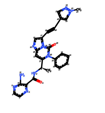 C[C@H](NC(=O)c1nccnc1N)c1cc2ncc(C#Cc3cnn(C)c3)n2c(=O)n1-c1ccccc1